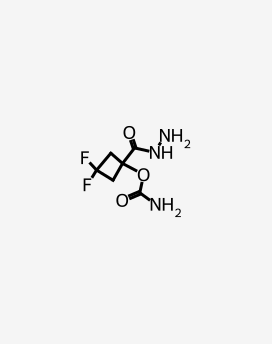 NNC(=O)C1(OC(N)=O)CC(F)(F)C1